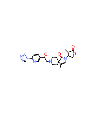 CC1=CN(C2=C(C)C(=O)OC2)C(=O)C12CCN(C[C@H](O)c1ccc(-n3cnnn3)nc1)CC2